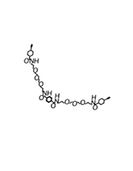 C#CC1CCC(C(=O)NCCCOCCOCCOCCCNC(=O)c2ccc(C(=O)NCCCOCCOCCOCCCNC(=O)C3CCC(C#C)CC3)cc2)CC1